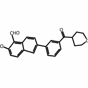 O=Cc1c(O)ccc2cc(-c3cccc(C(=O)C4CCOCC4)c3)ccc12